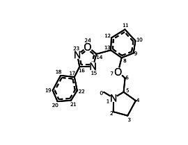 CN1CCCC1COc1ccccc1-c1nc(-c2ccccc2)no1